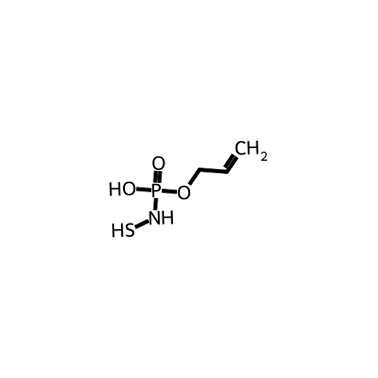 C=CCOP(=O)(O)NS